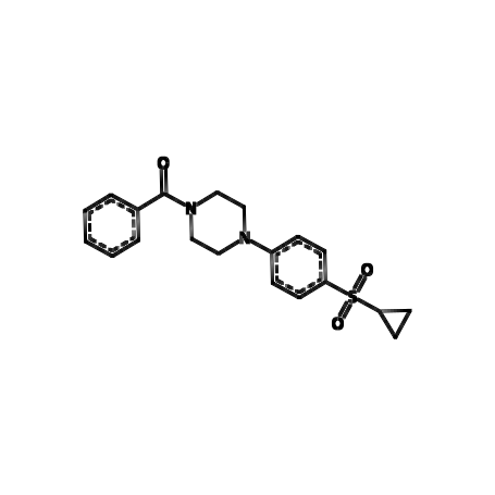 O=C(c1ccccc1)N1CCN(c2ccc(S(=O)(=O)C3CC3)cc2)CC1